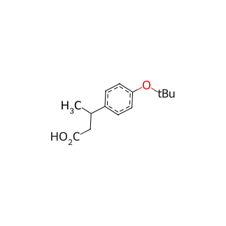 CC(CC(=O)O)c1ccc(OC(C)(C)C)cc1